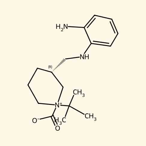 CC(C)(C)[N+]1(C(=O)[O-])CCC[C@H](CNc2ccccc2N)C1